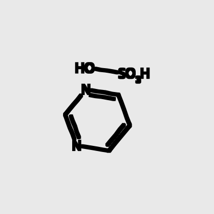 O=S(=O)(O)O.c1cncnc1